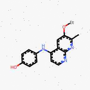 CCOc1cc2c(Nc3ccc(O)cc3)ccnc2nc1C